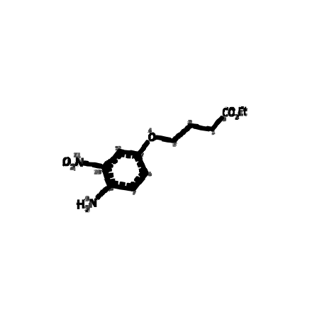 CCOC(=O)CCCOc1ccc(N)c([N+](=O)[O-])c1